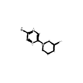 FC1CCCN(c2cnc(Br)cn2)C1